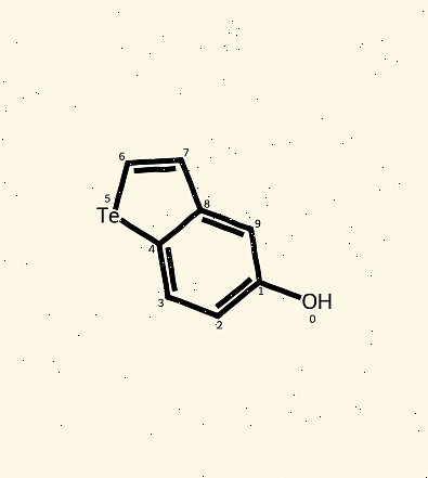 Oc1ccc2[te]ccc2c1